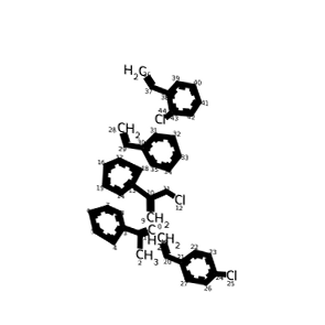 C=C(C)c1ccccc1.C=C(CCl)c1ccccc1.C=Cc1ccc(Cl)cc1.C=Cc1ccccc1.C=Cc1ccccc1Cl